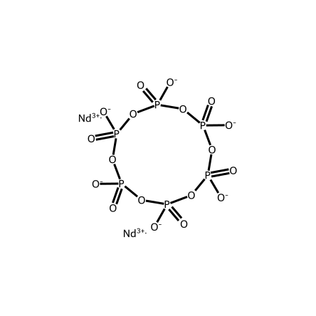 O=P1([O-])OP(=O)([O-])OP(=O)([O-])OP(=O)([O-])OP(=O)([O-])OP(=O)([O-])O1.[Nd+3].[Nd+3]